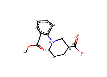 COC(=O)c1ccccc1N1CCCC(C(=O)O)C1